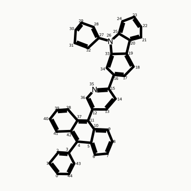 c1ccc(-c2c3ccccc3c(-c3ccc(-c4ccc5c6ccccc6n(-c6ccccc6)c5c4)nc3)c3ccccc23)cc1